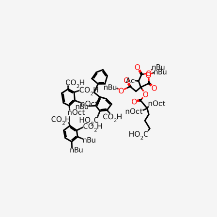 CCCCCCCCC(CCCCCCCC)(CCCC(=O)O)C(=O)OC(CC(=O)OCCCC)(C(=O)OCCCC)C(C(C)=O)C(=O)OCCCC.CCCCCCCCc1ccc(C(=O)O)c(C(=O)O)c1CCCCCCCC.CCCCc1c(Cc2ccccc2)ccc(C(=O)O)c1C(=O)O.CCCCc1ccc(C(=O)O)c(C(=O)O)c1CCCC